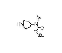 CC(C)(C)OC(=O)N(C1CCNCC1)C1CC1